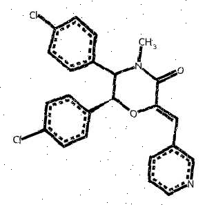 CN1C(=O)/C(=C/c2cccnc2)O[C@@H](c2ccc(Cl)cc2)C1c1ccc(Cl)cc1